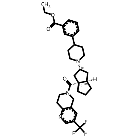 CCOC(=O)c1cccc(C2CCN([C@@H]3C[C@H]4CCC[C@@]4(C(=O)N4CCc5ncc(C(F)(F)F)cc5C4)C3)CC2)c1